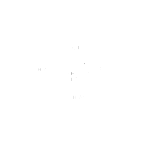 CC(C)(C[AsH2])OC(C)(C)C[AsH2]